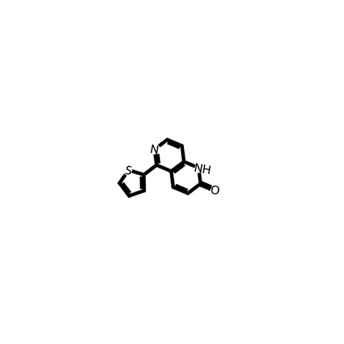 O=c1ccc2c(-c3cccs3)nccc2[nH]1